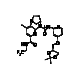 Cc1cc(C(=O)NCC(F)(F)F)nc2c1N1CCC(C1)N2C(=O)Nc1cc(OC[C@H]2COC(C)(C)O2)ccn1